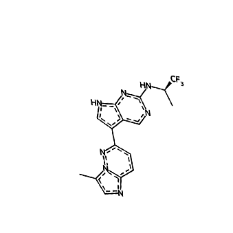 Cc1cnc2ccc(-c3c[nH]c4nc(N[C@H](C)C(F)(F)F)ncc34)nn12